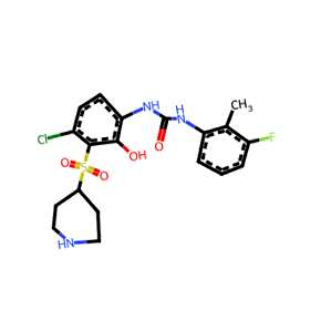 Cc1c(F)cccc1NC(=O)Nc1ccc(Cl)c(S(=O)(=O)C2CCNCC2)c1O